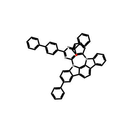 c1ccc(-c2ccc(-c3nc(-c4ccccc4)nc(-n4c5ccc(-c6ccccc6)cc5c5ccc6c7ccccc7n(-c7ccccc7)c6c54)n3)cc2)cc1